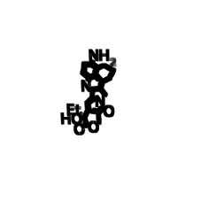 CC[C@@]1(O)C(=O)OCc2c1cc1n(c2=O)Cc2c-1nc1ccc(N)c3c1c2CCC3